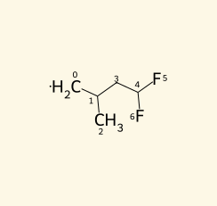 [CH2]C(C)CC(F)F